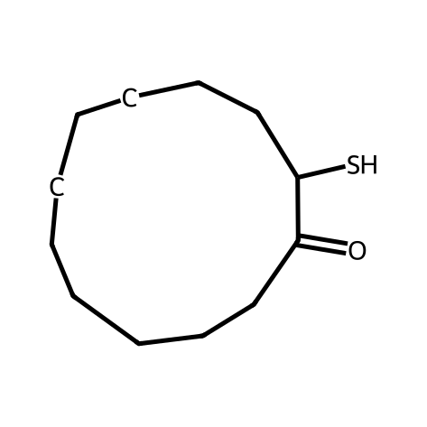 O=C1CCCCCCCCCCC1S